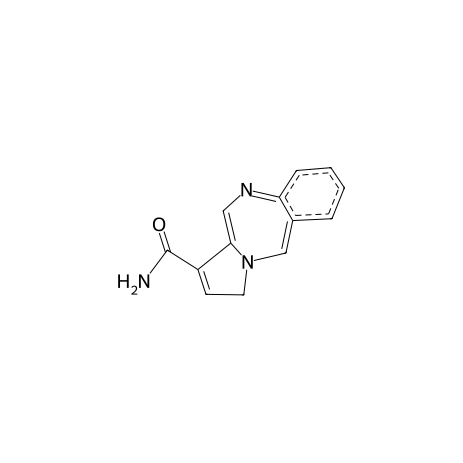 NC(=O)C1=CCN2C=c3ccccc3=NC=C12